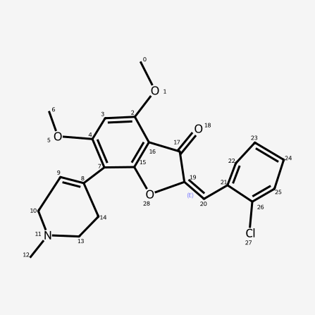 COc1cc(OC)c(C2=CCN(C)CC2)c2c1C(=O)/C(=C\c1ccccc1Cl)O2